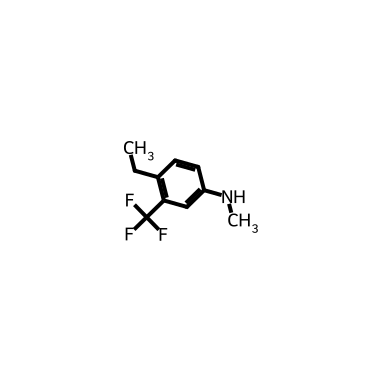 CCc1ccc(NC)cc1C(F)(F)F